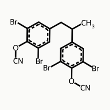 CC(Cc1cc(Br)c(OC#N)c(Br)c1)c1cc(Br)c(OC#N)c(Br)c1